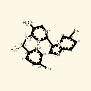 Cc1cnc(-c2cnc3ccc(F)cn23)nc1N[C@@H](C)c1ccc(F)cn1